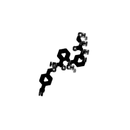 CCNC(=O)Nc1cc(N(C)c2ccccc2C(=O)NOCc2ccc(C#N)cc2)ccn1